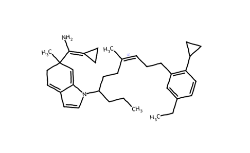 CCCC(CC/C(C)=C\CCc1cc(CC)ccc1C1CC1)n1ccc2c1=CC(C)(C(N)=C1CC1)CC=2